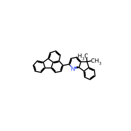 CC1(C)c2ccccc2-c2nc(-c3ccc4c5c(cccc35)-c3ccccc3-4)ccc21